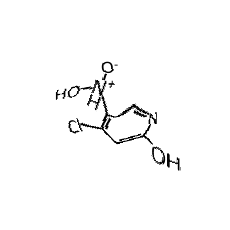 [O-][NH+](O)c1cnc(O)cc1Cl